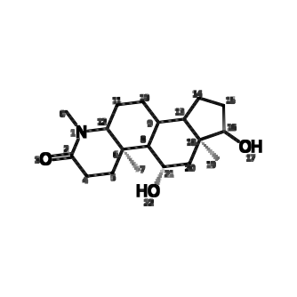 CN1C(=O)CC[C@]2(C)C3C(CCC12)C1CCC(O)[C@@]1(C)C[C@@H]3O